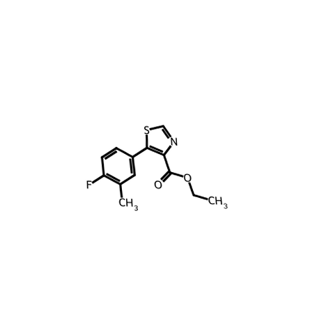 CCOC(=O)c1ncsc1-c1ccc(F)c(C)c1